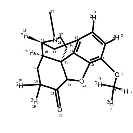 [2H]c1c([2H])c(OC([2H])([2H])[2H])c2c3c1C[C@]1([2H])[C@@H]4CC([2H])([2H])C(=O)C(O2)[C@]34CCN1C